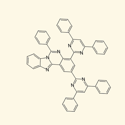 c1ccc(-c2cc(-c3ccccc3)nc(-c3cc(-c4nc(-c5ccccc5)cc(-c5ccccc5)n4)c4nc(-c5ccccc5)n5c6ccccc6nc5c4c3)n2)cc1